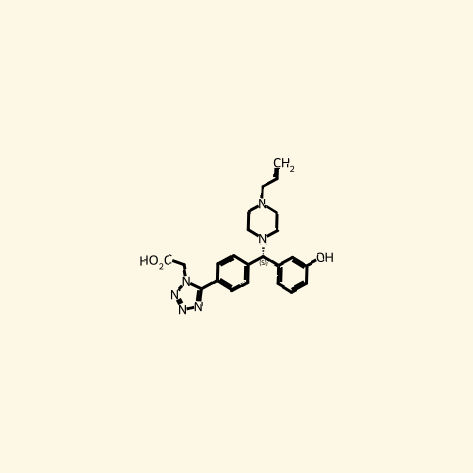 C=CCN1CCN([C@@H](c2ccc(-c3nnnn3CC(=O)O)cc2)c2cccc(O)c2)CC1